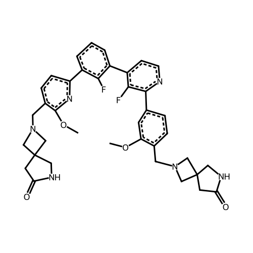 COc1cc(-c2nccc(-c3cccc(-c4ccc(CN5CC6(CNC(=O)C6)C5)c(OC)n4)c3F)c2F)ccc1CN1CC2(CNC(=O)C2)C1